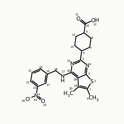 Cc1sc2nc(C3CCC(C(=O)O)CC3)nc(NCc3cccc([N+](=O)[O-])c3)c2c1C